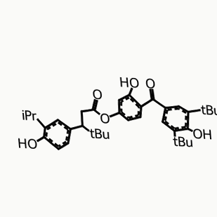 CC(C)c1cc(C(CC(=O)Oc2ccc(C(=O)c3cc(C(C)(C)C)c(O)c(C(C)(C)C)c3)c(O)c2)C(C)(C)C)ccc1O